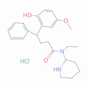 CCN(C(=O)CCC(c1ccccc1)c1cc(OC)ccc1O)C1CCCCN1.Cl